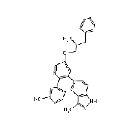 Cc1n[nH]c2ccc(-c3cc(OC[C@@H](N)Cc4ccccc4)cnc3-c3cccc(C#N)c3)cc12